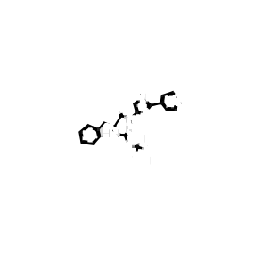 CC(C)(C)OC(=O)N[C@@H](Cc1ccccc1)C(=O)Nc1cnc(-c2ccncc2)s1